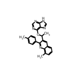 Cc1ccc(-c2nc3c(C)cccc3cc2C(C)Oc2ncnc3[nH]cnc23)cc1